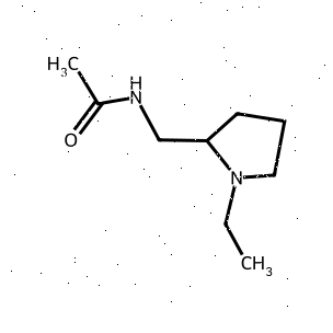 CCN1CCCC1CNC(C)=O